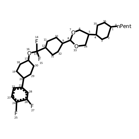 CCCCCC1CCC(C2COC(C3CCC(C(F)(F)OC4CCC(c5ccc(F)c(F)c5)CC4)CC3)OC2)CC1